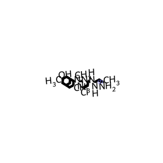 C/C(N)=C/C(=N)Nc1cc(Cl)nc(N(C)C2C(C)CC3CC2CC(C)(O)C3)n1